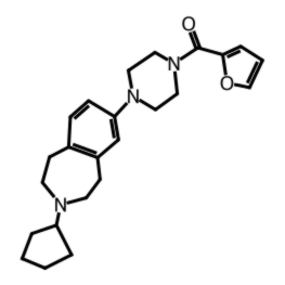 O=C(c1ccco1)N1CCN(c2ccc3c(c2)CCN(C2CCCC2)CC3)CC1